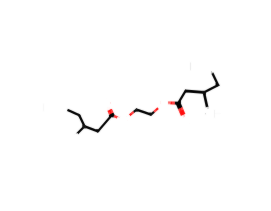 CCC(C)CC(=O)OCCOC(=O)CC(C)CC